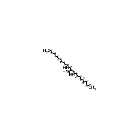 CCCCCCCCCCCCNCC(CCCCCCCCCCCC)C(=N)N